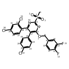 CS(=O)(=O)c1nc(OCc2ccc(F)c(F)c2)c(-c2ccc(Cl)cc2)c(-c2ccc(Cl)cc2Cl)n1